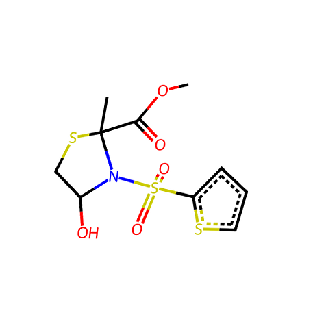 COC(=O)C1(C)SCC(O)N1S(=O)(=O)c1cccs1